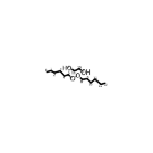 CCCCCCOOCCCCCC.OCCO